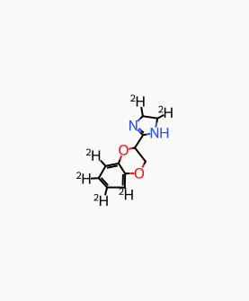 [2H]c1c([2H])c([2H])c2c(c1[2H])OCC(C1=NC([2H])C([2H])N1)O2